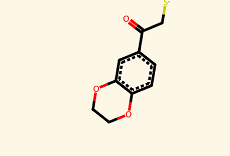 O=C(C[S])c1ccc2c(c1)OCCO2